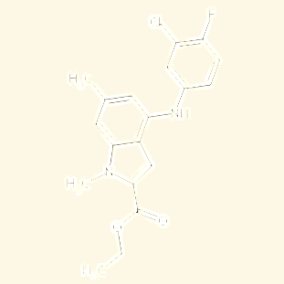 CCOC(=O)c1cc2c(Nc3ccc(F)c(Cl)c3)cc(C)cc2n1C